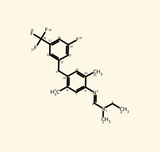 CCN(C)C=Nc1cc(C)c(Cc2cc(F)cc(C(F)(F)F)c2)cc1C